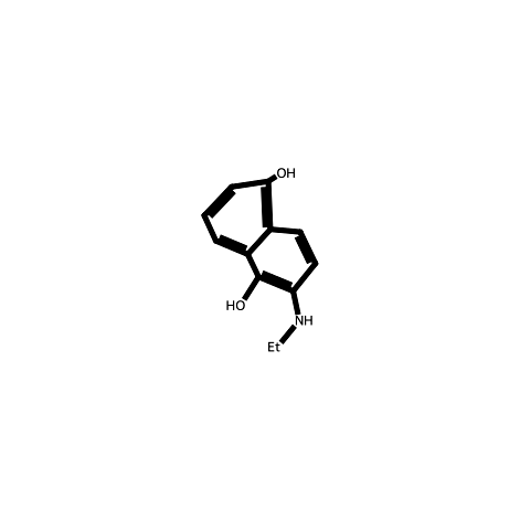 CCNc1ccc2c(O)cccc2c1O